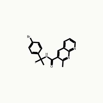 Cc1nc2ncccc2cc1C(=O)NC(C)(I)c1ccc(Br)cc1